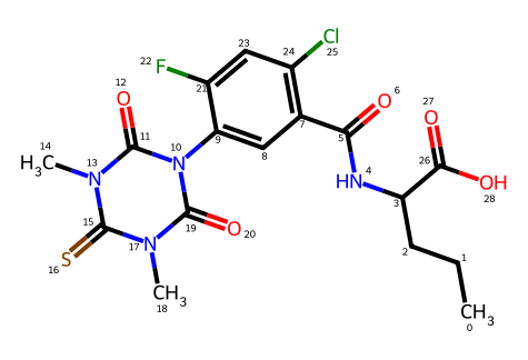 CCCC(NC(=O)c1cc(-n2c(=O)n(C)c(=S)n(C)c2=O)c(F)cc1Cl)C(=O)O